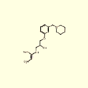 CN/C(=C\[N+](=O)[O-])NCC(O)COc1cccc(CN2CCCCC2)c1